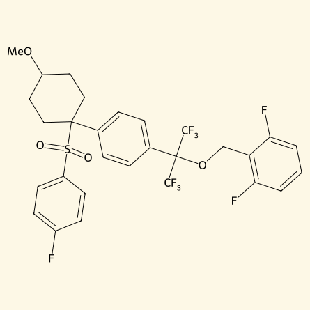 COC1CCC(c2ccc(C(OCc3c(F)cccc3F)(C(F)(F)F)C(F)(F)F)cc2)(S(=O)(=O)c2ccc(F)cc2)CC1